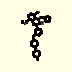 CN1CCN(C2CCN(Cc3cccc(C(=O)NN(CC4CCCC4)c4nc(N)ncc4Br)c3)CC2)CC1